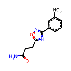 NC(=O)CCc1nc(-c2cccc([N+](=O)[O-])c2)no1